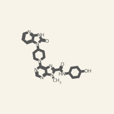 Cn1c(C(=O)NC2CCC(O)CC2)nc2c(N3CCC(n4c(=O)[nH]c5ncccc54)CC3)ncnc21